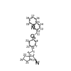 N#CCC1(CCc2ccc(OCc3ccc4ccccc4n3)cc2)CCCC1